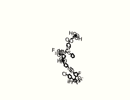 Cc1c([S+](C)[O-])c(-c2cc(F)cc(N3CCN(c4ccc(NS(=O)(=O)c5ccc(N[C@H](CCN6CCC(C(=O)OCCCP(=O)(O)O)CC6)CSc6ccccc6)c(S(=O)(=O)C(F)(F)F)c5)cc4)CC3)c2)c(-c2ccc(Cl)cc2)n1C(C)C